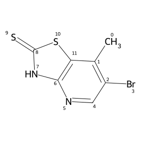 Cc1c(Br)cnc2[nH]c(=S)sc12